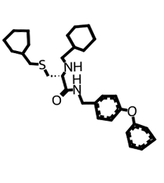 O=C(NCc1ccc(Oc2ccccc2)cc1)[C@H](CSCC1CCCCC1)NCC1CCCCC1